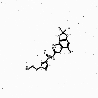 CC(C)c1cc2c(c(C(C)C)c1CC(=O)/N=[SH](=O)/c1ccn(CCO)n1)OC(F)(F)O2